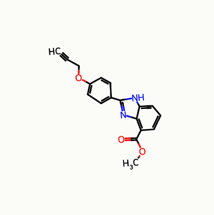 C#CCOc1ccc(-c2nc3c(C(=O)OC)cccc3[nH]2)cc1